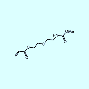 C=CC(=O)OCCOCCNC(=O)OC